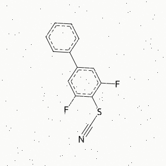 N#CSc1c(F)cc(-c2ccccc2)cc1F